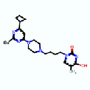 Cc1cn(CCCCN2CCN(c3cc(C4CCC4)nc(C(C)(C)C)n3)CC2)c(=O)nc1O